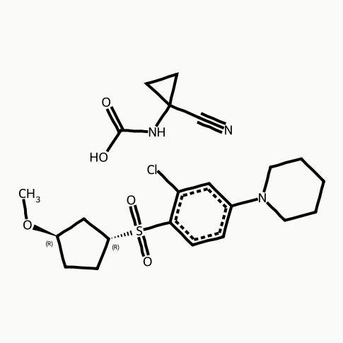 CO[C@@H]1CC[C@@H](S(=O)(=O)c2ccc(N3CCCCC3)cc2Cl)C1.N#CC1(NC(=O)O)CC1